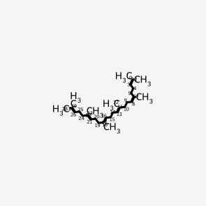 CC(C)=CCC/C(C)=C\CC/C(C)=C/CC/C=C(\C)CC/C=C(\C)CCC=C(C)C